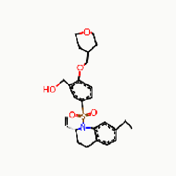 C=C[C@H]1CCc2ccc(CC)cc2N1S(=O)(=O)c1ccc(OCC2CCOCC2)c(CO)c1